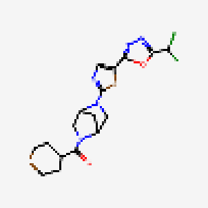 O=C(C1CCSCC1)N1CC2CC1CN2c1ncc(-c2nnc(C(F)F)o2)s1